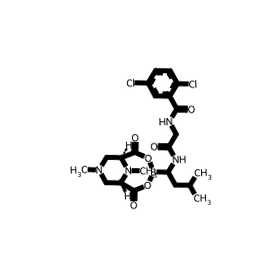 CC(C)CC(NC(=O)CNC(=O)c1cc(Cl)ccc1Cl)B1OC(=O)[C@@H]2CN(C)C[C@@H](C(=O)O1)N2C